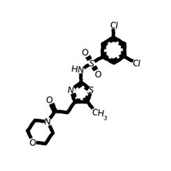 Cc1sc(NS(=O)(=O)c2cc(Cl)cc(Cl)c2)nc1CC(=O)N1CCOCC1